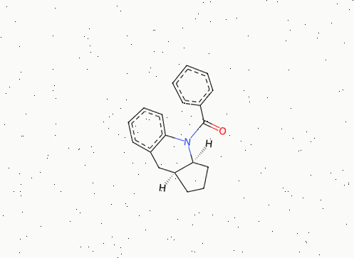 O=C(c1ccccc1)N1c2ccccc2C[C@@H]2CCC[C@@H]21